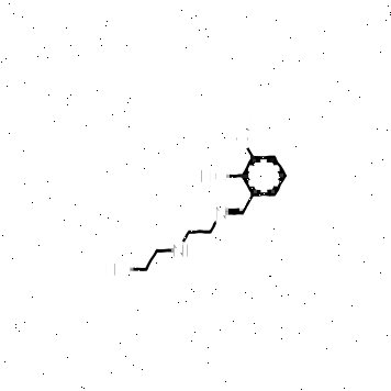 CCOc1cccc(C=NCCNCCO)c1O